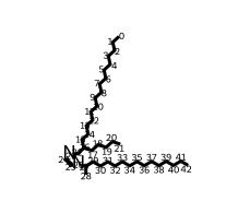 CCCCCCCCCCCCCCCCC(CCCCC)c1nccn1C(C)CCCCCCCCCCCCCC